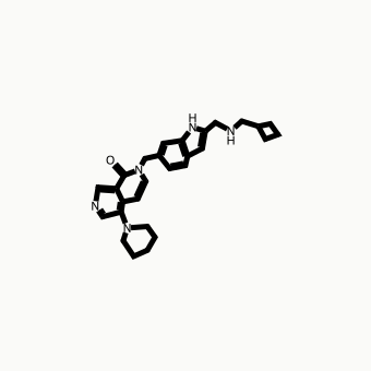 O=c1c2cncc(N3CCCCC3)c2ccn1Cc1ccc2cc(CNCC3CCC3)[nH]c2c1